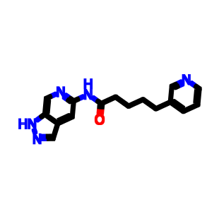 O=C(CCCCc1cccnc1)Nc1cc2cn[nH]c2cn1